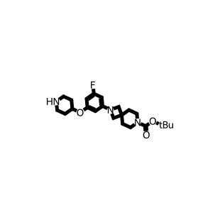 CC(C)(C)OC(=O)N1CCC2(CC1)CN(c1cc(F)cc(OC3CCNCC3)c1)C2